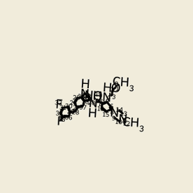 COCCNc1cc(N2CCN(C)CC2)ccc1C(=O)NC1NNc2ccc(Cc3cc(F)cc(F)c3)cc21